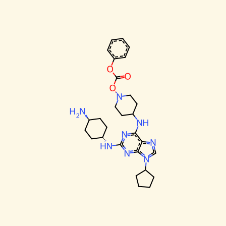 N[C@H]1CC[C@H](Nc2nc(NC3CCN(OC(=O)Oc4ccccc4)CC3)c3ncn(C4CCCC4)c3n2)CC1